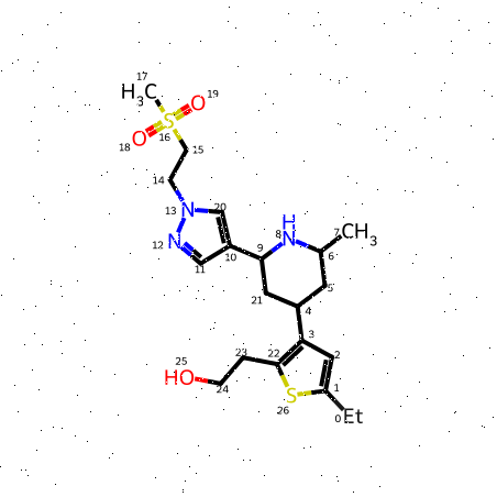 CCc1cc(C2CC(C)NC(c3cnn(CCS(C)(=O)=O)c3)C2)c(CCO)s1